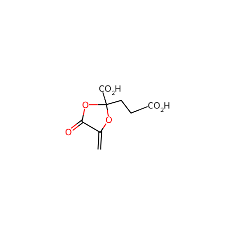 C=C1OC(CCC(=O)O)(C(=O)O)OC1=O